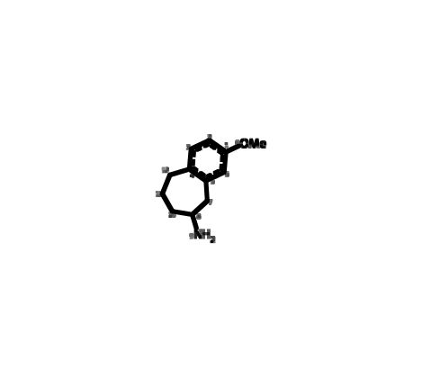 COc1ccc2c(c1)CC(N)CCC2